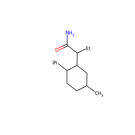 CCC(C(N)=O)C1CC(C)CCC1C(C)C